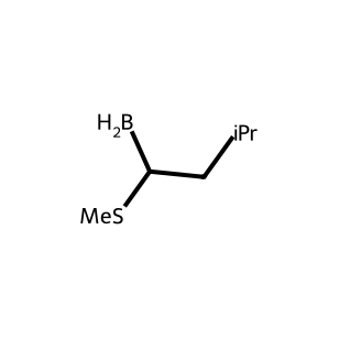 BC(CC(C)C)SC